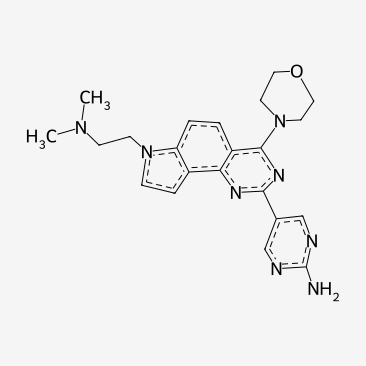 CN(C)CCn1ccc2c3nc(-c4cnc(N)nc4)nc(N4CCOCC4)c3ccc21